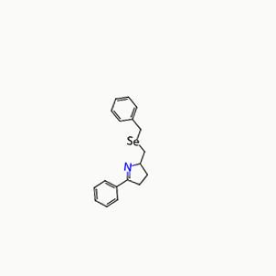 c1ccc(C[Se]CC2CCC(c3ccccc3)=N2)cc1